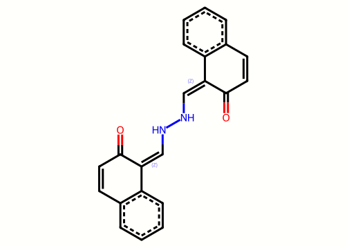 O=C1C=Cc2ccccc2/C1=C/NN/C=C1\C(=O)C=Cc2ccccc21